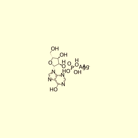 O=P(O)(O)O.OC[C@H]1O[C@@H](n2cnc3c(O)ncnc32)[C@H](O)[C@@H]1O.[Ag].[Ag]